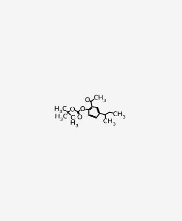 CCC(C)c1ccc(OC(=O)OC(C)(C)C)c(C(C)=O)c1